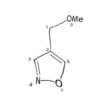 COCc1[c]noc1